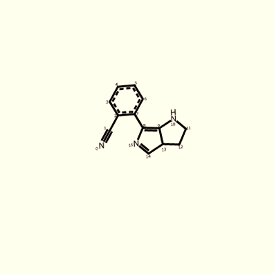 N#Cc1ccccc1C1=C2NCCC2C=N1